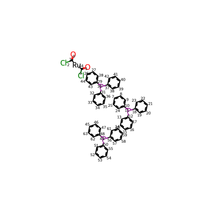 O=[C](Cl)[Ru][C](=O)Cl.c1ccc(P(c2ccccc2)c2ccccc2)cc1.c1ccc(P(c2ccccc2)c2ccccc2)cc1.c1ccc(P(c2ccccc2)c2ccccc2)cc1